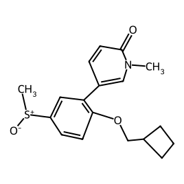 Cn1cc(-c2cc([S+](C)[O-])ccc2OCC2CCC2)ccc1=O